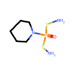 NSP(=O)(SN)N1CCCCC1